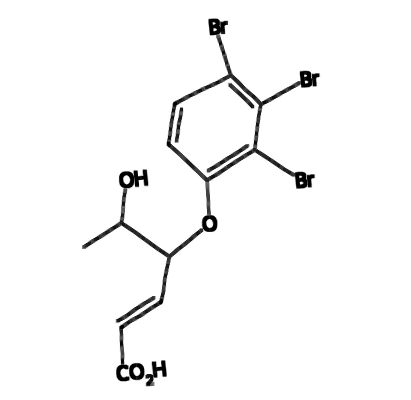 CC(O)C(C=CC(=O)O)Oc1ccc(Br)c(Br)c1Br